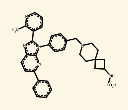 Nc1ncccc1-c1nc2ccc(-c3ccccc3)nc2n1-c1ccc(CN2CCC3(CC2)CC(NC(=O)O)C3)cc1